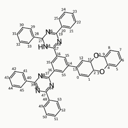 C1=CC2Oc3ccccc3OC2C=C1c1cc(C2=NC(c3ccccc3)=NC(c3ccccc3)N2)cc(-c2nc(-c3ccccc3)nc(-c3ccccc3)n2)c1